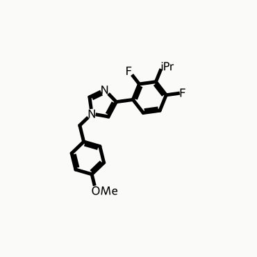 COc1ccc(Cn2cnc(-c3ccc(F)c(C(C)C)c3F)c2)cc1